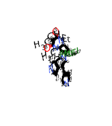 CCN1C(=O)C(C)(C)C(=O)N(C)c2cc(CN(CCc3ccncc3)Cc3cccnc3C)ccc21.Cl.Cl.Cl